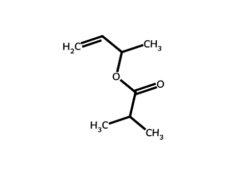 C=CC(C)OC(=O)C(C)C